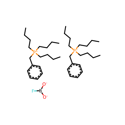 CCCC[P+](CCCC)(CCCC)Cc1ccccc1.CCCC[P+](CCCC)(CCCC)Cc1ccccc1.[O-]B([O-])F